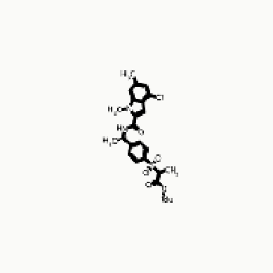 Cc1cc(Cl)c2cc(C(=O)N[C@H](C)c3ccc(S(=O)(=O)C(C)C(=O)OC(C)(C)C)cc3)n(C)c2c1